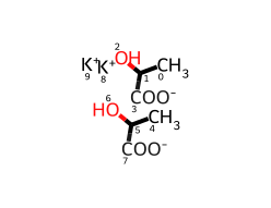 CC(O)C(=O)[O-].CC(O)C(=O)[O-].[K+].[K+]